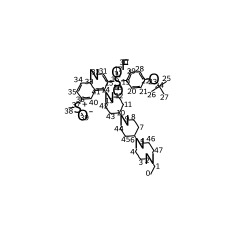 CCN1CCN(C2CCN(C3CCN(c4c(S(=O)(=O)c5ccc(OC(C)(C)C)cc5F)cnc5ccc([S+](C)[O-])cc45)CC3)CC2)CC1